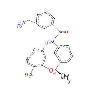 C[C@@H](Oc1cc(Cl)cnc1N)c1cccc(NC(=O)c2cccc(N)c2)c1